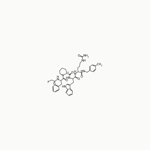 Cc1ccc(CNC(=O)C(CCCNC(N)=O)NC(=O)C(Cc2c[nH]c3ccccc23)NC(=O)[C@@H]2CCCCN2C(=O)C(Cc2ccccc2)NC(=O)CF)cc1